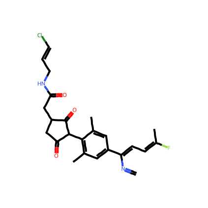 C=N/C(=C\C=C(/C)F)c1cc(C)c(C2C(=O)CC(CC(=O)NC/C=C/Cl)C2=O)c(C)c1